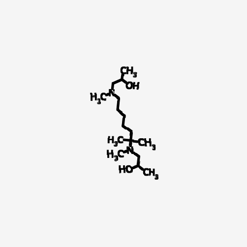 CC(O)CN(C)CCCCCC(C)(C)N(C)CC(C)O